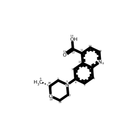 C[C@@H]1CN(c2ccc3nccc(C(=O)O)c3c2)CCO1